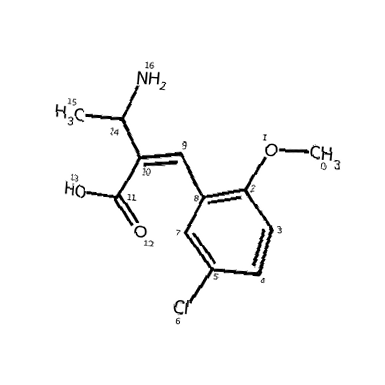 COc1ccc(Cl)cc1C=C(C(=O)O)C(C)N